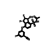 CC(=O)NS(=O)(=O)c1ccc(Oc2cc(F)cc(C#N)c2)c2c1[C@H](O)[C@H](F)[C@H]2F